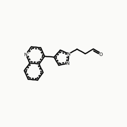 O=CCCn1cc(-c2ccnc3ccccc23)cn1